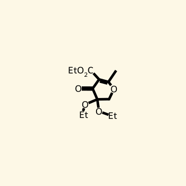 CCOC(=O)C1=C(C)OCC(OCC)(OCC)C1=O